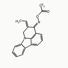 C/C=C1\Cn2c3ccccc3c3cccc(c32)\C1=N\OC(=O)C(F)(F)F